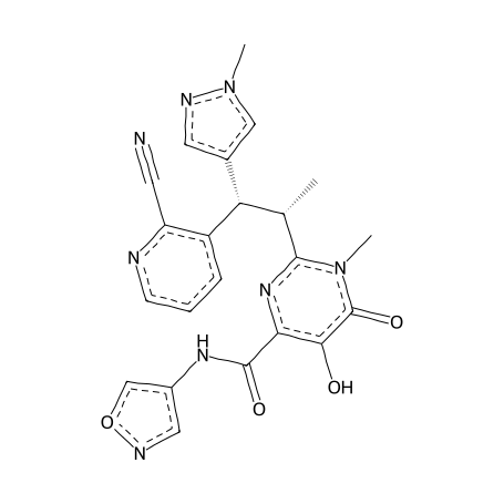 C[C@H](c1nc(C(=O)Nc2cnoc2)c(O)c(=O)n1C)[C@@H](c1cnn(C)c1)c1cccnc1C#N